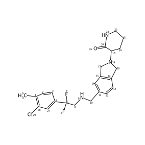 Cc1ccc(C(F)(F)CNCc2ccc3c(c2)CN(C2CCCNC2=O)C3)cc1Cl